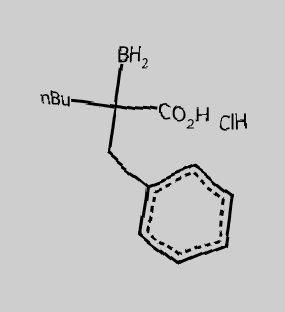 BC(CCCC)(Cc1ccccc1)C(=O)O.Cl